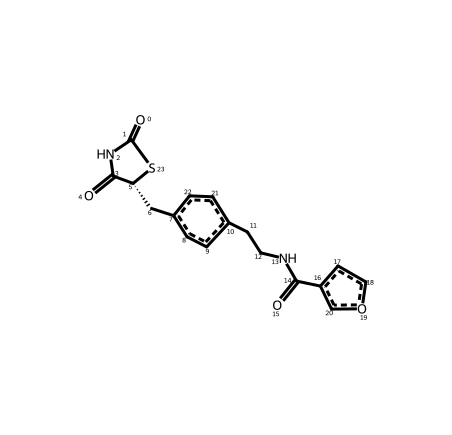 O=C1NC(=O)[C@@H](Cc2ccc(CCNC(=O)c3ccoc3)cc2)S1